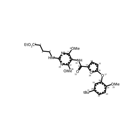 CCOC(=O)CCCNc1nc(OC)c(NC(=O)c2ccc(Oc3cc(C(C)(C)C)ccc3OC)o2)c(OC)n1